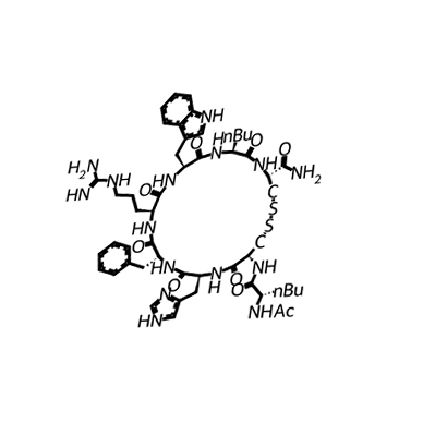 CCCC[C@H](NC(C)=O)C(=O)N[C@H]1CSSC[C@@H](C(N)=O)NC(=O)[C@H](CCCC)NC(=O)[C@H](Cc2c[nH]c3ccccc23)NC(=O)[C@H](CCCNC(=N)N)NC(=O)[C@@H](Cc2ccccc2)NC(=O)[C@H](Cc2c[nH]cn2)NC1=O